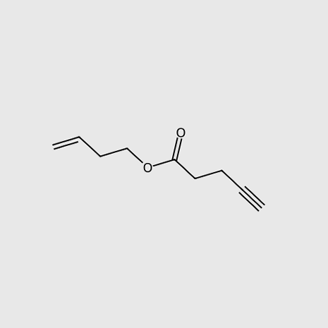 C#CCCC(=O)OCCC=C